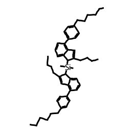 CCCCCCc1ccc(-c2cccc3c2C=C(CCCC)C3[Si](C)(C)C2C(CCCC)=Cc3c(-c4ccc(CCCCCC)cc4)cccc32)cc1